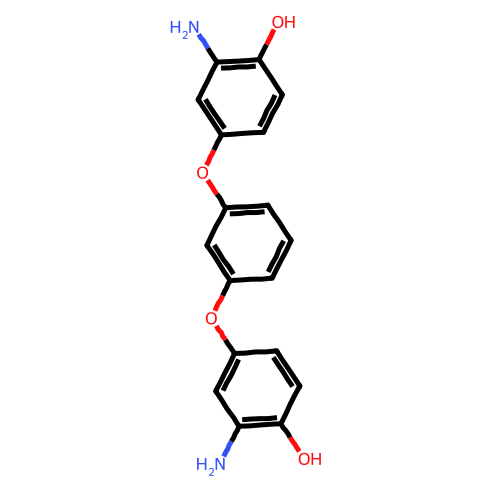 Nc1cc(Oc2cccc(Oc3ccc(O)c(N)c3)c2)ccc1O